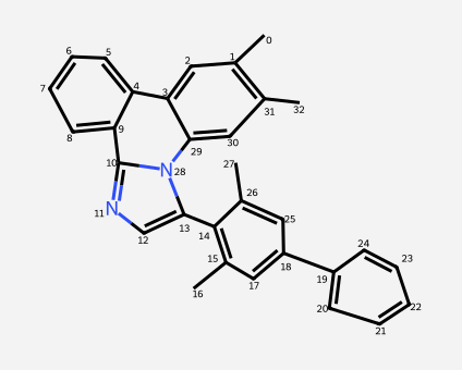 Cc1cc2c3ccccc3c3ncc(-c4c(C)cc(-c5ccccc5)cc4C)n3c2cc1C